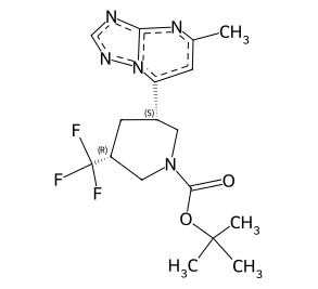 Cc1cc([C@H]2C[C@@H](C(F)(F)F)CN(C(=O)OC(C)(C)C)C2)n2ncnc2n1